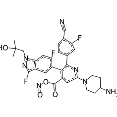 CC(C)(O)Cn1nc(F)c2cc(-c3c(C(=O)ON=O)cc(N4CCC(N)CC4)nc3-c3ccc(C#N)c(F)c3)c(F)cc21